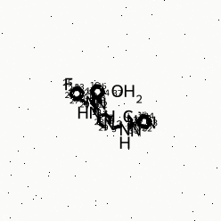 Cn1c(NCCN2CCC(Nc3nc4ccccc4n3Cc3ccc(F)cc3)CC2)nc2cnccc21.O